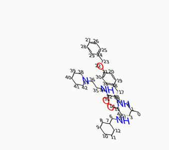 CC(C)C[C@H](NCC1CCCCC1)C(=O)N[C@@H](Cc1ccc(OCc2ccccc2)cc1)C(=O)NCCN1CCCCC1